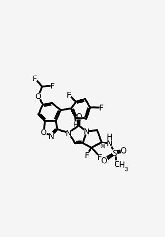 CS(=O)(=O)N[C@@H]1Cn2c(cn(-c3noc4cc(OC(F)F)cc(-c5c(F)cc(F)cc5F)c34)c2=O)C1(F)F